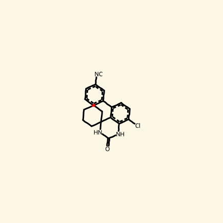 [C-]#[N+]c1cccc(-c2ccc(Cl)c3c2C2(CCCCC2)NC(=O)N3)c1